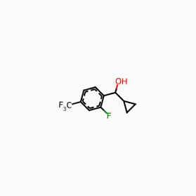 OC(c1ccc(C(F)(F)F)cc1F)C1CC1